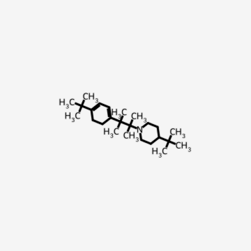 CC(C)(C)C1=CC=C(C(C)(C)C(C)(C)N2CCC(C(C)(C)C)CC2)CC1